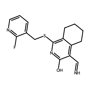 N=Cc1c(O)nc(SCc2cccnc2F)c2c1CCCC2